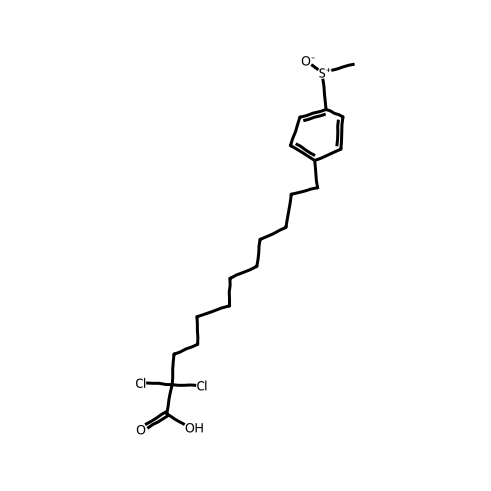 C[S+]([O-])c1ccc(CCCCCCCCCCC(Cl)(Cl)C(=O)O)cc1